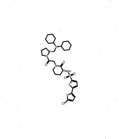 O=C1[C@@H](NS(=O)(=O)c2ccc(-c3ccc(Cl)s3)s2)CCCN1CC(=O)N1CCC[C@H]1CN(C1CCCCC1)C1CCCCC1